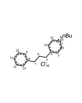 CCCC[n+]1ccc(CCCc2ccccc2)cc1.[Cl-]